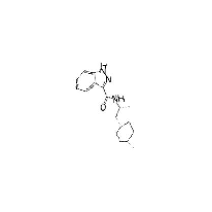 C[C@H](C[C@H]1CC[C@@H](C)CC1)NC(=O)c1n[nH]c2ccccc12